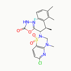 Cc1ccc(F)c([C@@H](C)[C@@H](c2n[nH]c(=O)o2)N2CN(C)c3nc(Cl)ccc3S2(=O)=O)c1C